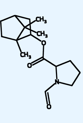 CC1(C)C2CCC1(C)C(OC(=O)C1CCCN1C=O)C2